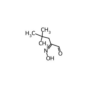 CC(C)(C)CC(C=O)=NO